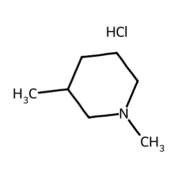 CC1CCCN(C)C1.Cl